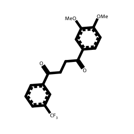 COc1ccc(C(=O)CCC(=O)c2cccc(C(F)(F)F)c2)cc1OC